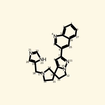 c1ccc2ncc(-c3cc4n(n3)CCC43CCN(Cc4cnc[nH]4)C3)cc2c1